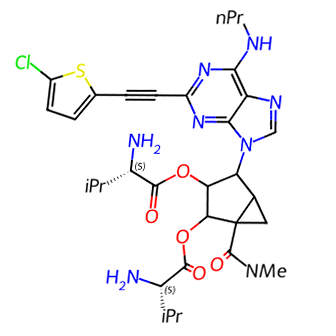 CCCNc1nc(C#Cc2ccc(Cl)s2)nc2c1ncn2C1C(OC(=O)[C@@H](N)C(C)C)C(OC(=O)[C@@H](N)C(C)C)C2(C(=O)NC)CC12